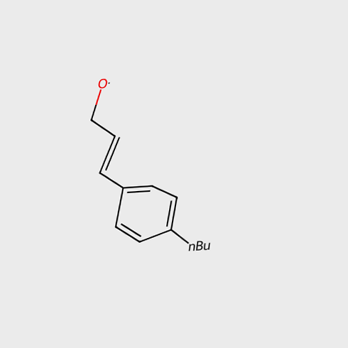 CCCCc1ccc(C=CC[O])cc1